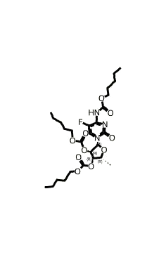 CCCCCOC(=O)Nc1nc(=O)n([C@@H]2O[C@H](C)[C@@H](OC(=O)OCCCCC)[C@H]2OC(=O)OCCCCC)cc1F